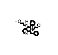 OCCCNC(=Cc1ccccc1)c1cccnc1C(=Cc1ccccc1)NCCCO